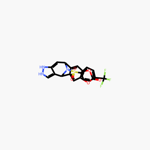 O=c1oc2cc3c(cc2o1)C1C2=CNNC2=CC3N1S(=O)(=O)c1ccc(C(F)(F)F)cc1